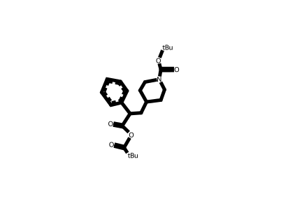 CC(C)(C)OC(=O)N1CCC(CC(C(=O)OC(=O)C(C)(C)C)c2ccccc2)CC1